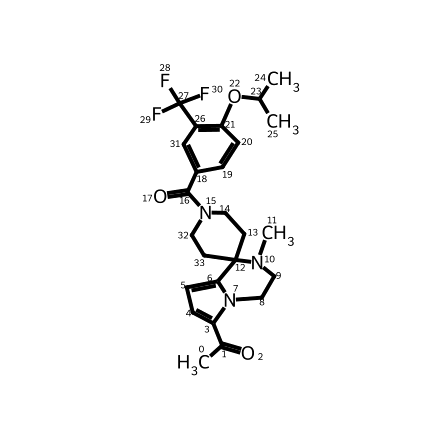 CC(=O)c1ccc2n1CCN(C)C21CCN(C(=O)c2ccc(OC(C)C)c(C(F)(F)F)c2)CC1